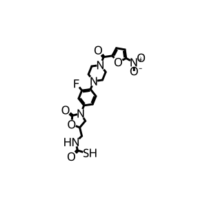 O=C(S)NCC1CN(c2ccc(N3CCN(C(=O)c4ccc([N+](=O)[O-])o4)CC3)c(F)c2)C(=O)O1